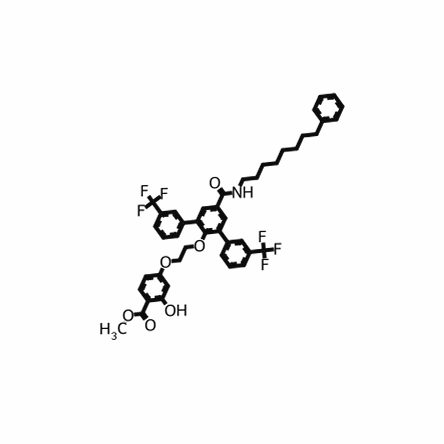 COC(=O)c1ccc(OCCOc2c(-c3cccc(C(F)(F)F)c3)cc(C(=O)NCCCCCCCCc3ccccc3)cc2-c2cccc(C(F)(F)F)c2)cc1O